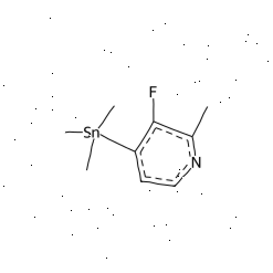 Cc1ncc[c]([Sn]([CH3])([CH3])[CH3])c1F